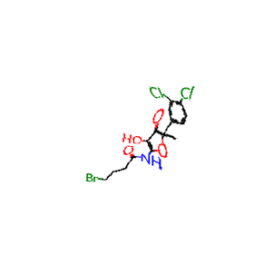 CC1(c2ccc(Cl)c(Cl)c2)OC(NC(=O)CCCBr)=C(O)C1=O